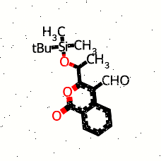 CC(O[Si](C)(C)C(C)(C)C)c1oc(=O)c2ccccc2c1C=O